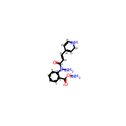 NOC(=O)c1ccccc1N(N)C(=O)/C=C/C1=CCNC=C1